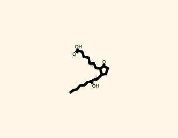 CCCCCCC(O)/C=C/C1CCC(=O)C1C/C=C/CCCC(=O)O